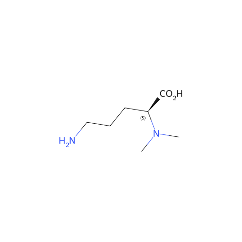 CN(C)[C@@H](CCCN)C(=O)O